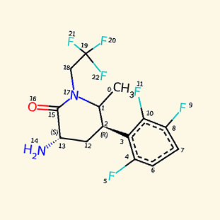 CC1[C@@H](c2c(F)ccc(F)c2F)C[C@H](N)C(=O)N1CC(F)(F)F